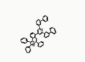 c1ccc(-c2cccc(-c3cc(-c4cccc5c4cc(-c4ccccc4)n4nc(-c6ccccc6)c(-c6ccccc6)c54)cc(-c4cccc(-c5ccccc5)c4)n3)c2)cc1